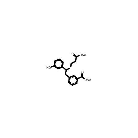 COC(=O)CCSC(Cc1cccc(C(=O)OC)c1)c1cccc(O)c1